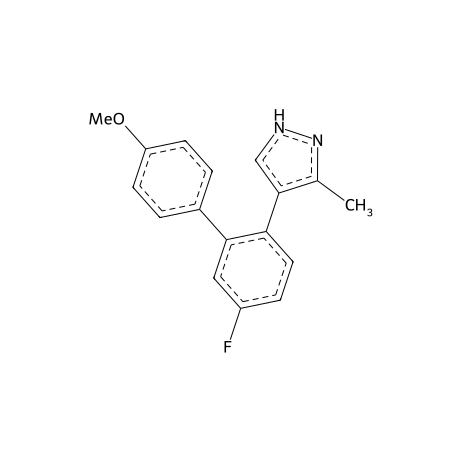 COc1ccc(-c2cc(F)ccc2-c2c[nH]nc2C)cc1